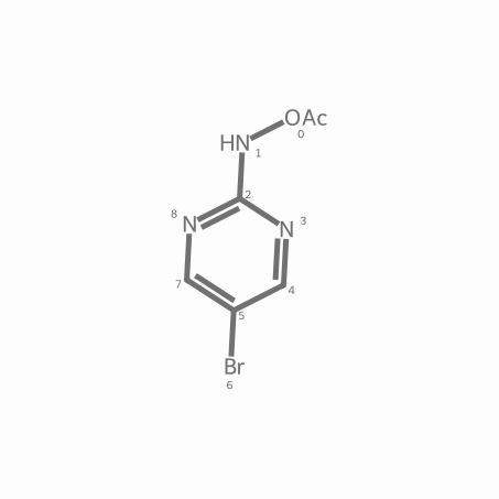 CC(=O)ONc1ncc(Br)cn1